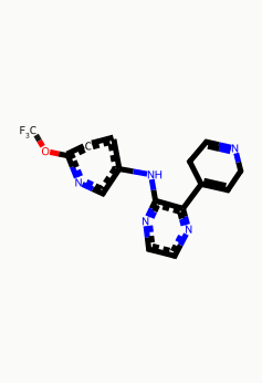 FC(F)(F)Oc1ccc(Nc2nccnc2C2=CCN=CC2)cn1